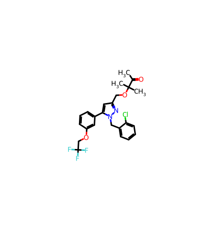 CC(=O)C(C)(C)OCc1cc(-c2cccc(OCC(F)(F)F)c2)n(Cc2ccccc2Cl)n1